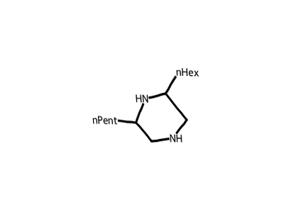 [CH2]CCCCCC1CNCC(CCCCC)N1